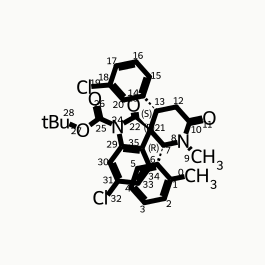 Cc1ccccc1[C@H]1N(C)C(=O)C[C@@H](c2cccc(Cl)c2)[C@]12C(=O)N(C(=O)OC(C)(C)C)c1cc(Cl)ccc12